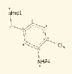 CCCCCCCCc1ccc(Cl)c(NC(C)=O)c1